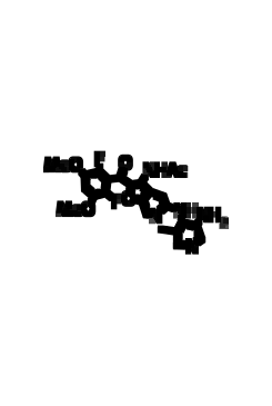 COc1cc(OC)c(F)c(C(=O)c2oc3cnc(Nc4c(C)cncc4N)cc3c2NC(C)=O)c1F